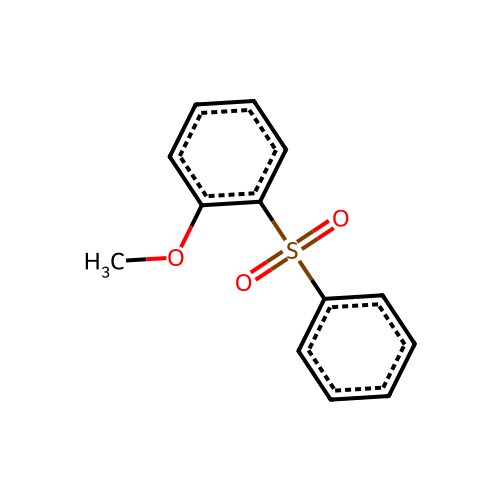 COc1ccccc1S(=O)(=O)c1ccccc1